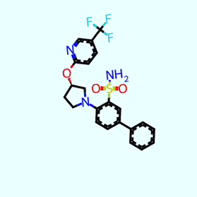 NS(=O)(=O)c1cc(-c2ccccc2)ccc1N1CC[C@@H](Oc2ccc(C(F)(F)F)cn2)C1